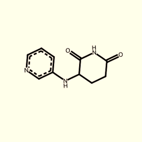 O=C1CCC(Nc2cccnc2)C(=O)N1